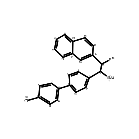 CCCCC(c1ccc(-c2ccc(Cl)cc2)cc1)C(F)c1ccc2ccccc2c1